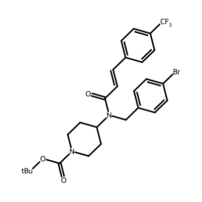 CC(C)(C)OC(=O)N1CCC(N(Cc2ccc(Br)cc2)C(=O)/C=C/c2ccc(C(F)(F)F)cc2)CC1